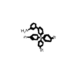 CC(C)c1ccc([Si](c2ccc(C(C)C)cc2)(c2ccc(C(C)C)cc2)c2cccc(-c3cccc(N)c3)c2)cc1